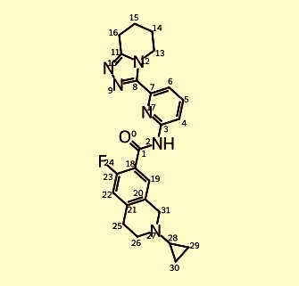 O=C(Nc1cccc(-c2nnc3n2CCCC3)n1)c1cc2c(cc1F)CCN(C1CC1)C2